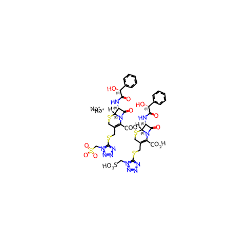 O=C(O)C1=C(CSc2nnnn2CS(=O)(=O)O)CS[C@@H]2[C@H](NC(=O)[C@H](O)c3ccccc3)C(=O)N12.O=C([O-])C1=C(CSc2nnnn2CS(=O)(=O)[O-])CS[C@@H]2[C@H](NC(=O)[C@H](O)c3ccccc3)C(=O)N12.[Na+].[Na+]